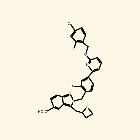 O=C(O)c1ccc2nn(Cc3ccc(-c4cccc(OCc5ccc(Cl)cc5F)n4)cc3F)c(CC3CCO3)c2c1